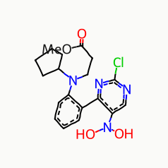 COC(=O)CCN(c1ccccc1-c1nc(Cl)ncc1N(O)O)C1CCCC1